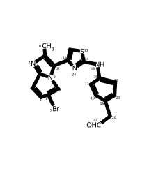 Cc1nc2ccc(Br)cn2c1-c1csc(Nc2ccc(CC=O)cc2)n1